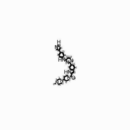 CN1CCN(C2CCN(C(=O)c3cc4ccc(-c5nccc(Nc6ccc(-c7cn[nH]c7)cc6)n5)cc4[nH]3)CC2)CC1